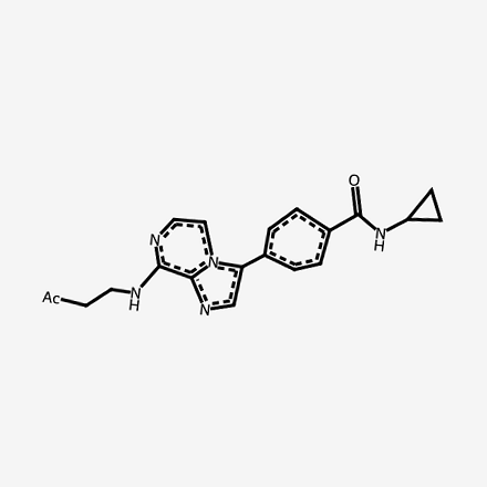 CC(=O)CCNc1nccn2c(-c3ccc(C(=O)NC4CC4)cc3)cnc12